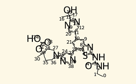 CCNC(=O)Nc1nc2cc(-c3cnc(C(C)(C)O)nc3)cc(-c3cc(N4CCC(C)(OC(=O)O)CC4)ncn3)c2s1